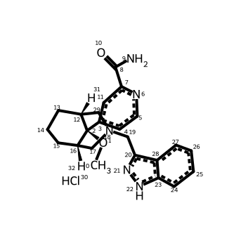 CO[C@]1(c2ccnc(C(N)=O)c2)[C@@H]2CCC[C@H]1CN(Cc1n[nH]c3ccccc13)C2.Cl